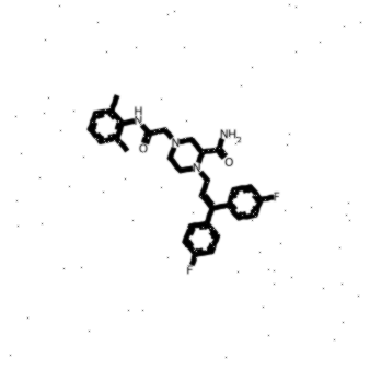 Cc1cccc(C)c1NC(=O)CN1CCN(CC=C(c2ccc(F)cc2)c2ccc(F)cc2)C(C(N)=O)C1